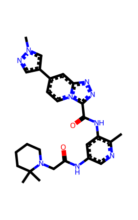 Cc1ncc(NC(=O)CN2CCCCC2(C)C)cc1NC(=O)c1nnc2cc(-c3cnn(C)c3)ccn12